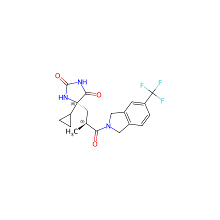 C[C@@H](C[C@]1(C2CC2)NC(=O)NC1=O)C(=O)N1Cc2ccc(C(F)(F)F)cc2C1